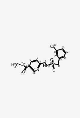 COC(=O)c1ccc(CNS(=O)(=O)Cc2cccc(Cl)c2)nc1